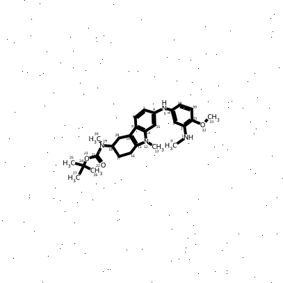 CNc1cc(Nc2ccc3c4c(n(C)c3c2)CCC(N(C)C(=O)OC(C)(C)C)C4)ccc1OC